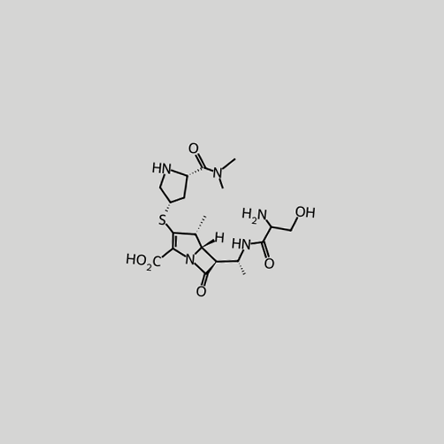 C[C@@H](NC(=O)C(N)CO)[C@H]1C(=O)N2C(C(=O)O)=C(S[C@@H]3CN[C@H](C(=O)N(C)C)C3)[C@H](C)[C@H]12